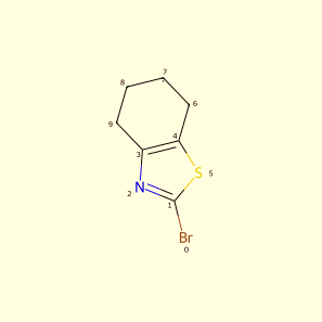 Brc1nc2c(s1)C[CH]CC2